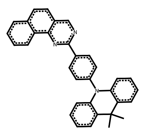 CC1(C)c2ccccc2N(c2ccc(-c3ncc4ccc5ccccc5c4n3)cc2)c2ccccc21